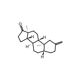 C=C1CC[C@@H]2CC[C@@H]3[C@H](CC[C@]4(C)C(=O)CC[C@@H]34)[C@@]2(C)C1